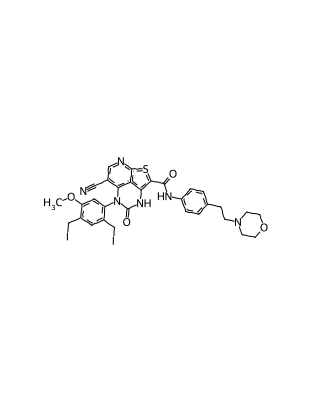 COc1cc(N2C(=O)Nc3c(C(=O)Nc4ccc(CCN5CCOCC5)cc4)sc4ncc(C#N)c2c34)c(CI)cc1CI